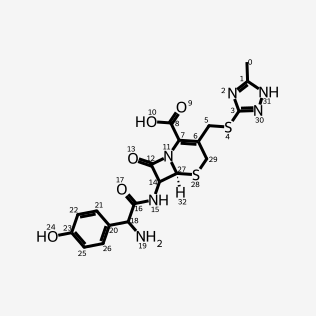 Cc1nc(SCC2=C(C(=O)O)N3C(=O)C(NC(=O)C(N)c4ccc(O)cc4)[C@@H]3SC2)n[nH]1